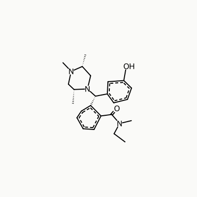 CCN(C)C(=O)c1ccccc1[C@@H](c1cccc(O)c1)N1C[C@@H](C)N(C)C[C@H]1C